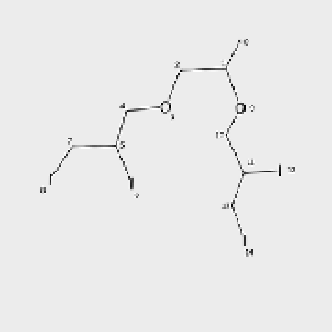 [CH2]C(COCC(I)CI)OCC(I)CI